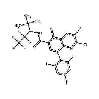 CC(C)(C)C(NC(=O)c1cn(-c2c(F)cc(F)cc2F)c2nc(Cl)c(F)cc2c1=O)C(F)(F)C(F)(F)F